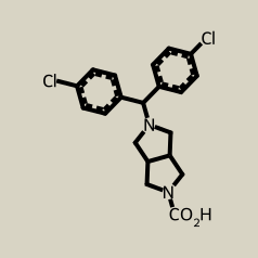 O=C(O)N1CC2CN(C(c3ccc(Cl)cc3)c3ccc(Cl)cc3)CC2C1